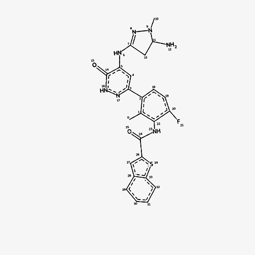 Cc1c(-c2cc(NC3=NN(C)C(N)C3)c(=O)[nH]n2)ccc(F)c1NC(=O)c1cc2ccccc2s1